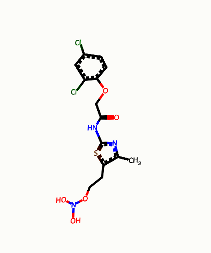 Cc1nc(NC(=O)COc2ccc(Cl)cc2Cl)sc1CCON(O)O